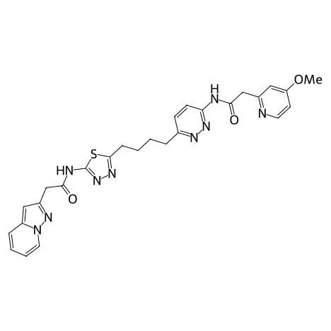 COc1ccnc(CC(=O)Nc2ccc(CCCCc3nnc(NC(=O)Cc4cc5ccccn5n4)s3)nn2)c1